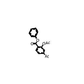 CC(=O)Oc1cc(C(C)=O)ccc1C(=O)Oc1ccccc1